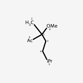 COC(C)(CCC(C)C)C(C)=O